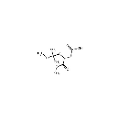 COC(=O)[C@@H](CC(=O)O)OC(C)(C)OC